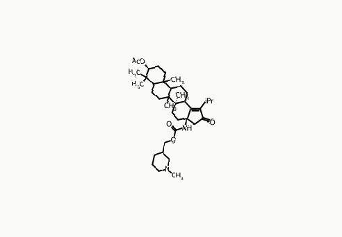 CC(=O)O[C@H]1CCC2(C)C(CCC3(C)C2CCC2C4=C(C(C)C)C(=O)C[C@]4(NC(=O)OCC4CCCN(C)C4)CC[C@]23C)C1(C)C